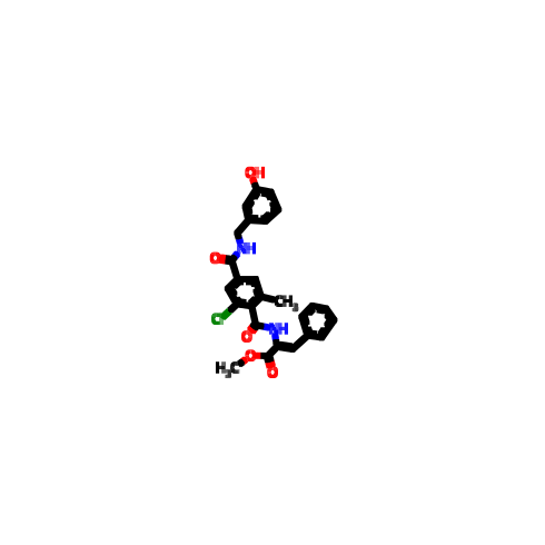 COC(=O)C(=Cc1ccccc1)NC(=O)c1c(C)cc(C(=O)NCc2cccc(O)c2)cc1Cl